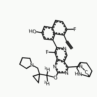 [2H]C([2H])(Oc1nc(N2CC3CCC2CN3)c2cnc(-c3cc(O)cc4ccc(F)c(C#C)c34)c(F)c2n1)C1(CN2CCCC2)CC1